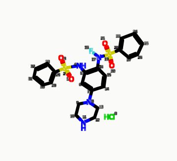 Cl.O=S(=O)(Nc1cc(N2CCNCC2)ccc1N(F)S(=O)(=O)c1ccccc1)c1ccccc1